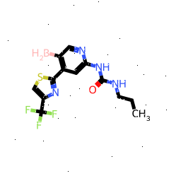 Bc1cnc(NC(=O)NCCC)cc1-c1nc(C(F)(F)F)cs1